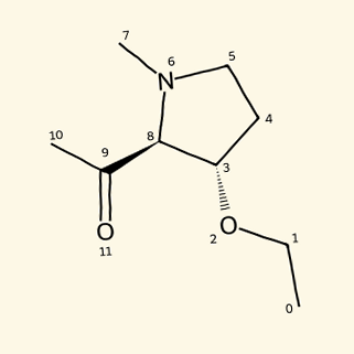 CCO[C@H]1CCN(C)[C@@H]1C(C)=O